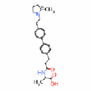 CC(NC(=O)CCc1ccc(-c2ccc(CCN3CCC[C@H]3C)cc2)cc1)C(=O)O